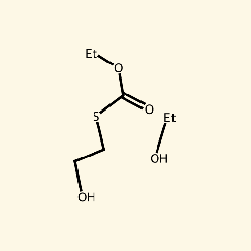 CCO.CCOC(=O)SCCO